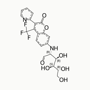 O=C[C@H](Nc1ccc2c(C(F)(F)F)c(-c3ccccn3)c(=O)oc2c1)[C@@H](O)[C@H](O)[C@H](O)CO